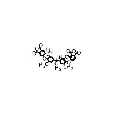 Cc1cc(C(C)(C)c2cc(C)c(Oc3ccc4c(c3)C(=O)OC4=O)c(C)c2)cc(C)c1Oc1ccc2c(c1)C(=O)OC2=O